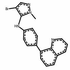 Cn1ncc(Br)c1Nc1ccc(-c2cccc3cccnc23)cc1